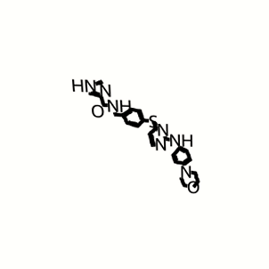 O=C(NCc1ccc(Sc2ccnc(Nc3ccc(N4CCOCC4)cc3)n2)cc1)c1c[nH]cn1